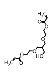 C=CC(=O)OCCOCC(CO)COCCOC(=O)C=C